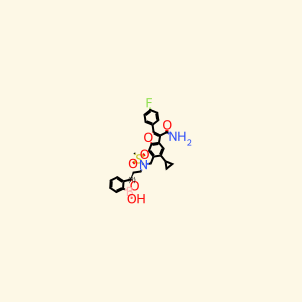 CS(=O)(=O)N(CC[C@H]1OB(O)c2ccccc21)Cc1cc2oc(-c3ccc(F)cc3)c(C(N)=O)c2cc1C1CC1